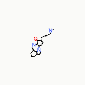 CN(C)CC#CCc1ccc2n3ccc4c3c(cnc-2c1=O)CCC4